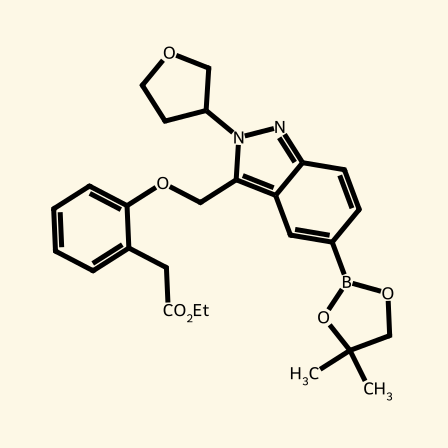 CCOC(=O)Cc1ccccc1OCc1c2cc(B3OCC(C)(C)O3)ccc2nn1C1CCOC1